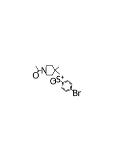 CC(=O)N1CCC(C)(C[S+]([O-])c2ccc(Br)cc2)CC1